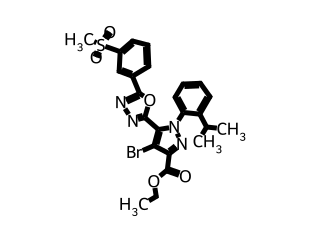 CCOC(=O)c1nn(-c2ccccc2C(C)C)c(-c2nnc(-c3cccc(S(C)(=O)=O)c3)o2)c1Br